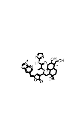 CC(NC(CC1C2(CCC3[C@]1(C)CC[C@@H](O)[C@@]3(C)CO)CO2)C1=C/C(=C\c2cnc3c(c2)ncn3C)OC1=O)C(=O)NC1=NCC=N1